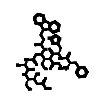 CC[C@H](C)[C@H](NC(=O)CC(NC(=O)OCC1c2ccccc2-c2ccccc21)[C@H](CC(C)C)N(C(=O)OC(C)(C)C)C(=O)[C@H](Cc1c[nH]cn1)NC(=O)[C@@H](N)Cc1ccccc1)C(=O)N[C@@H](CC(C)C)[C@@H](O)CC(=O)OC